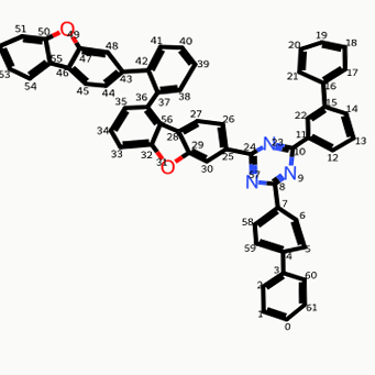 c1ccc(-c2ccc(-c3nc(-c4cccc(-c5ccccc5)c4)nc(-c4ccc5c(c4)oc4cccc(-c6ccccc6-c6ccc7c(c6)oc6ccccc67)c45)n3)cc2)cc1